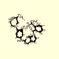 CC1CN(c2ccc(Nc3ncc4ccn(Cc5ccccc5C(C)S(C)(=O)=O)c4n3)cc2)CCN1